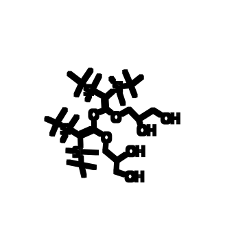 CC(C)(C)[Si](C)(C)C(=C(OCC(O)CO)OC(OCC(O)CO)=C([Si](C)(C)C(C)(C)C)[Si](C)(C)C(C)(C)C)[Si](C)(C)C(C)(C)C